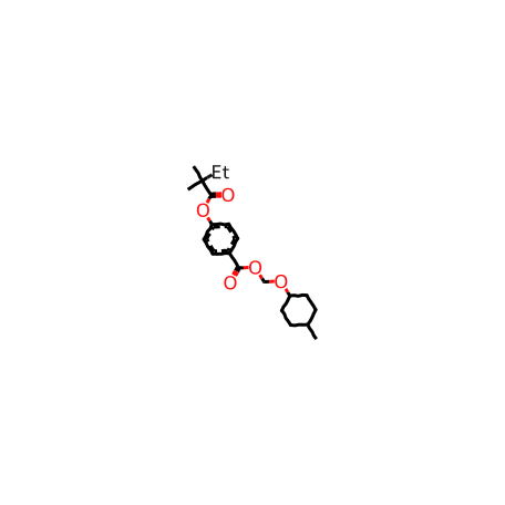 CCC(C)(C)C(=O)Oc1ccc(C(=O)OCOC2CCC(C)CC2)cc1